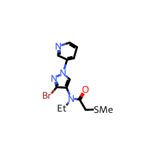 CCN(C(=O)CSC)c1cn(-c2cccnc2)nc1Br